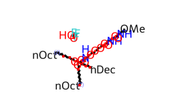 CCCCCCCC/C=C\CCCCCCCCOCC(OCCCCCCCC/C=C\CCCCCCCC)C(CCCCCCCCCCCCCCCC)OC(=O)NCCOCCOCCOCCOC(=O)CNCCOC(=O)CNCCOC.O=C(O)C(F)(F)F